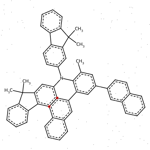 Cc1cc(-c2ccc3ccccc3c2)cc(-c2ccc3ccccc3c2)c1N(c1ccc2c(c1)C(C)(C)c1ccccc1-2)c1ccc2c(c1)C(C)(C)c1ccccc1-2